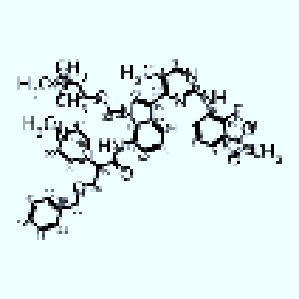 Cc1cnc(Nc2cccc(S(C)(=O)=O)c2F)nc1-c1cn(COCC[Si](C)(C)C)c2c(NC(=O)C(COCc3ccccc3)N3CCN(C)CC3)cccc12